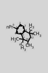 CCCc1ccc2c(c1)C(C)(C)C(C)CC2(C)C